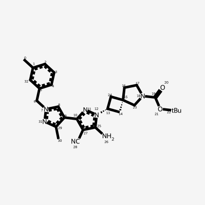 Cc1cccc(Cn2cc(-c3nn([C@H]4C[C@@]5(CCN(C(=O)OC(C)(C)C)C5)C4)c(N)c3C#N)c(C)n2)c1